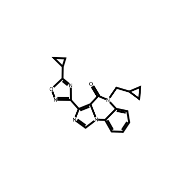 O=c1c2c(-c3noc(C4CC4)n3)ncn2c2ccccc2n1CC1CC1